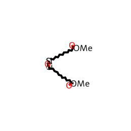 COC(=O)CCCCCCCCCC[Si](C)(C)O[Si](C)(C)CCCCCCCCCCC(=O)OC